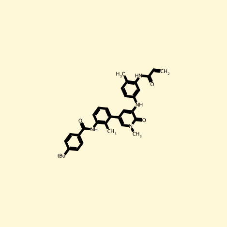 C=CC(=O)Nc1cc(Nc2cc(-c3cccc(NC(=O)c4ccc(C(C)(C)C)cc4)c3C)cn(C)c2=O)ccc1C